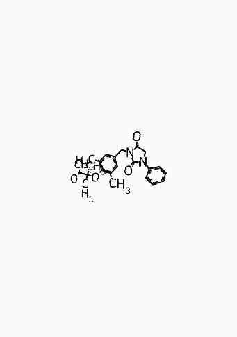 CC(=O)C(C)(C)Oc1c(C)cc(CN2C(=O)CN(c3ccccc3)C2=O)cc1C